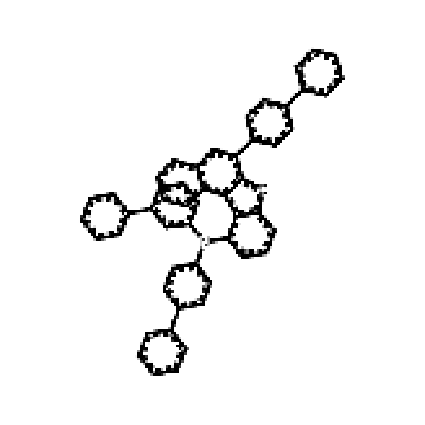 c1ccc(-c2ccc(-c3cc4ccccc4c4c3oc3cccc(N(c5ccc(-c6ccccc6)cc5)c5cccc(-c6ccccc6)c5)c34)cc2)cc1